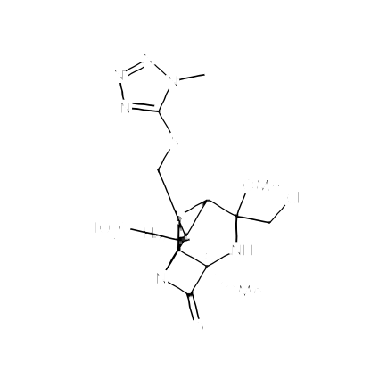 COC1(CCl)N[C@@]2(OC)C(=O)N3C(C(=O)O)=C(CSc4nnnn4C)C1S[C@H]32